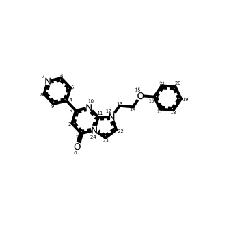 O=c1cc(-c2ccncc2)nc2n(CCOc3ccccc3)ccn12